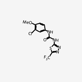 COc1ccc(NC(=O)Nc2nnc(C(F)(F)F)s2)cc1Cl